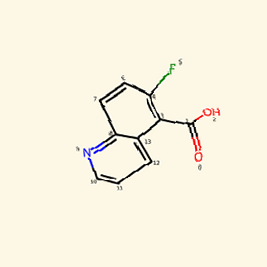 O=C(O)c1c(F)ccc2ncccc12